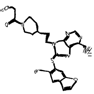 CC(=O)OCC(=O)N1CCC(CCn2c(Sc3cc4occc4cc3Br)nc3c(N)ncnc32)CC1